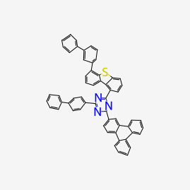 c1ccc(-c2ccc(-c3nc(-c4ccc5c6ccccc6c6ccccc6c5c4)nc(-c4cccc5sc6c(-c7cccc(-c8ccccc8)c7)cccc6c45)n3)cc2)cc1